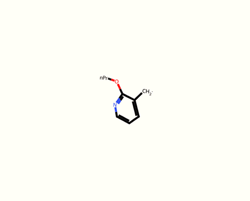 [CH2]c1cccnc1OCCC